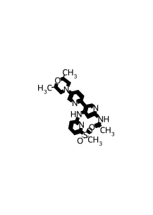 CC(=O)Nc1cc(Nc2cccc(S(C)(=O)=O)n2)c(-c2ccc(N3C[C@@H](C)O[C@@H](C)C3)cn2)cn1